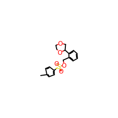 Cc1ccc(S(=O)(=O)OCc2ccccc2C2COCCO2)cc1